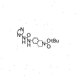 CC(C)(C)OC(=O)N1CCc2cc(NC(=O)Nc3cnccn3)ccc2C1